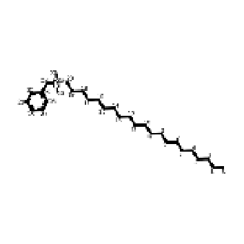 CCCCCCCCCCCCCCCCCCCCC[N+](C)(C)Cc1ccccc1